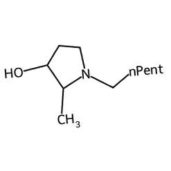 CCCCCCN1CCC(O)C1C